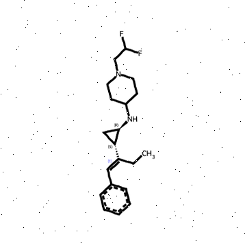 CC/C(=C\c1ccccc1)[C@@H]1C[C@H]1NC1CCN(CC(F)F)CC1